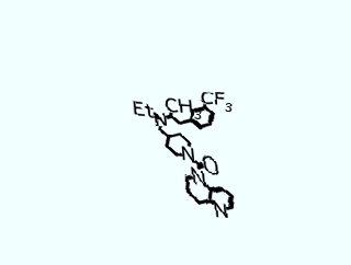 CCN(CC1CCN(C(=O)N2CCCc3ncccc32)CC1)C(C)Cc1cccc(C(F)(F)F)c1